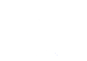 O=C1Nc2ccccc2/C1=C1/Sc2ccccc2C1=O